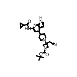 CC(C)(C)OC(=O)N1CC(CC#N)(N2CC=C(c3cc(NC(=O)C4CC4)nc4[nH]ccc34)CC2)C1